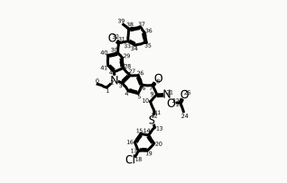 CCn1c2ccc(C(=O)/C(CCSCc3ccc(Cl)cc3)=N/OC(C)=O)cc2c2cc(C(=O)c3ccccc3C)ccc21